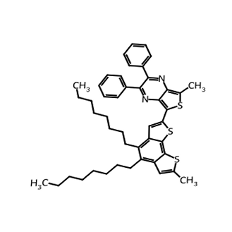 CCCCCCCCc1c(CCCCCCCC)c2cc(-c3sc(C)c4nc(-c5ccccc5)c(-c5ccccc5)nc34)sc2c2sc(C)cc12